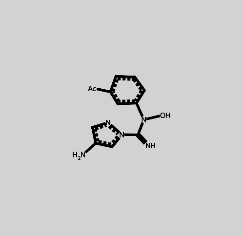 CC(=O)c1cccc(N(O)C(=N)n2cc(N)cn2)c1